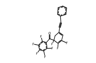 O=C(c1c(F)c(F)c(F)c(F)c1F)C1(F)CC(C#Cc2ccccc2)=CC(F)=C1F